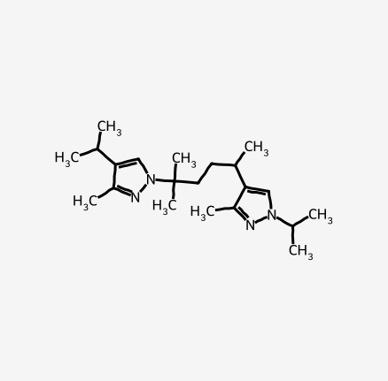 Cc1nn(C(C)(C)CCC(C)c2cn(C(C)C)nc2C)cc1C(C)C